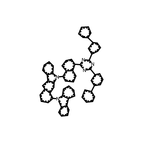 c1ccc(-c2cccc(-c3nc(-c4cccc(-c5ccccc5)c4)nc(-c4cccc5c(-n6c7ccccc7c7cc8cccc(-n9c%10ccccc%10c%10ccccc%109)c8cc76)cccc45)n3)c2)cc1